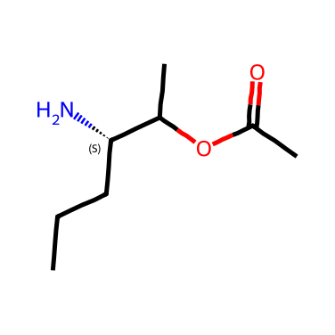 CCC[C@H](N)C(C)OC(C)=O